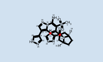 CS(=O)(=O)c1c(C2C[C@H]3CC[C@@H](C2)N3C(=O)c2nnc[nH]2)nc2c(-c3cn[nH]c3)cnn2c1N